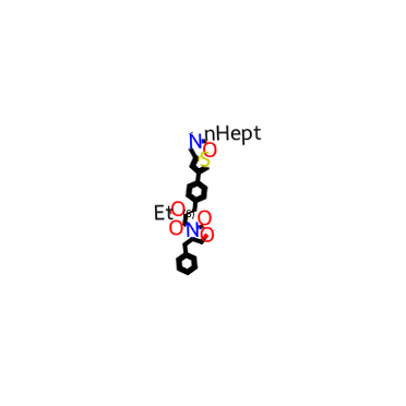 CCCCCCCC(=O)N(C)Cc1cc(-c2ccc(C[C@H](OCC)C(=O)N3C(=O)OCC3Cc3ccccc3)cc2)cs1